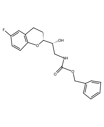 O=C(NC[C@@H](O)[C@H]1CCc2cc(F)ccc2O1)OCc1ccccc1